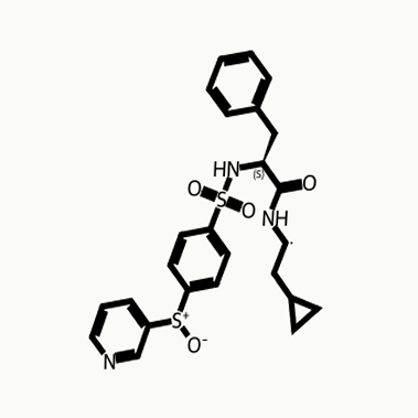 O=C(N[CH]CC1CC1)[C@H](Cc1ccccc1)NS(=O)(=O)c1ccc([S+]([O-])c2cccnc2)cc1